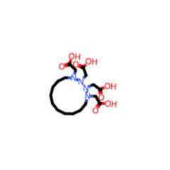 O=C(O)CN1CCCCCCCCCCN(CC(=O)O)N(CC(=O)O)N1CC(=O)O